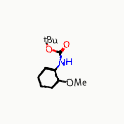 COC1CCCCC1NC(=O)OC(C)(C)C